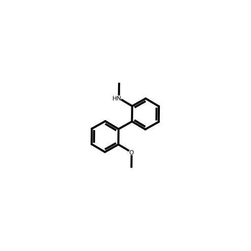 CNc1ccccc1-c1ccccc1OC